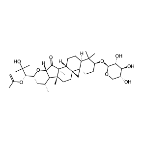 C=C(C)O[C@@H]([C@H]1C[C@@H](C)C2[C@H](O1)C(=O)[C@@]1(C)[C@@H]3CC[C@H]4C(C)(C)[C@@H](O[C@@H]5OC[C@@H](O)[C@H](O)[C@H]5O)CC[C@@]45C[C@@]35CC[C@]21C)C(C)(C)O